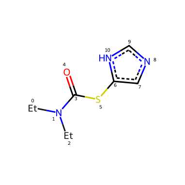 CCN(CC)C(=O)Sc1cnc[nH]1